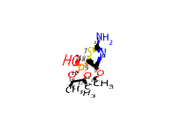 CCOc1nc(N)sc1P(=O)(O)OC(C)CC